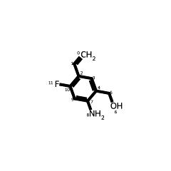 C=Cc1cc(CO)c(N)cc1F